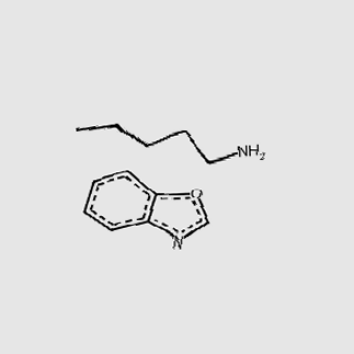 CCCCCN.c1ccc2ocnc2c1